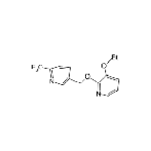 CCOc1cccnc1OCc1ccc(C(F)(F)F)nc1